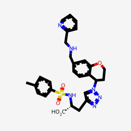 Cc1ccc(S(=O)(=O)N[C@H](Cc2cn(C3CCOc4cc(CNCc5ccccn5)ccc43)nn2)C(=O)O)cc1